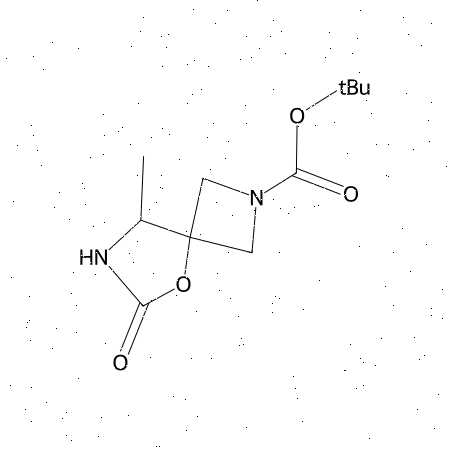 CC1NC(=O)OC12CN(C(=O)OC(C)(C)C)C2